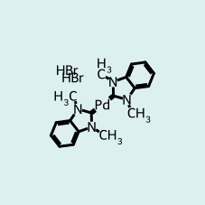 Br.Br.Cn1[c](=[Pd]=[c]2n(C)c3ccccc3n2C)n(C)c2ccccc21